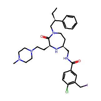 CC[C@H](CN1CC[C@@H](CNC(=O)c2ccc(Cl)c(CI)c2)N[C@@H](CCN2CCN(C)CC2)C1=O)c1ccccc1